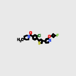 CC1CCN(C(=O)c2ccc(-c3cc(-c4ccnc(OC5CC(F)C5)c4)cs3)c(Cl)c2)CC1